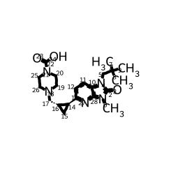 Cn1c(=O)n(CC(C)(C)C)c2ccc([C@H]3C[C@@H]3CN3CCN(C(=O)O)CC3)nc21